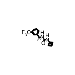 C[C@@H](NC(=O)NC12CC(C1)C2)c1cccc(C(F)(F)F)c1